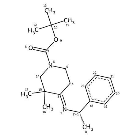 C[C@H](N=C1CCN(C(=O)OC(C)(C)C)CC1(C)C)c1ccccc1